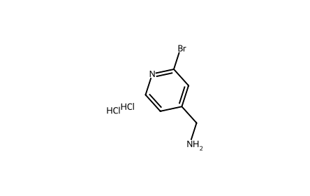 Cl.Cl.NCc1ccnc(Br)c1